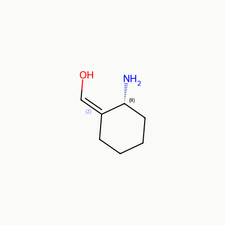 N[C@@H]1CCCC/C1=C/O